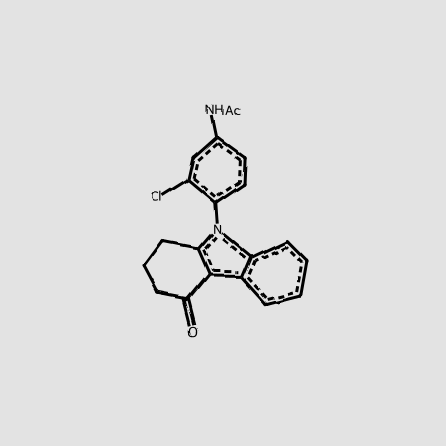 CC(=O)Nc1ccc(-n2c3c(c4ccccc42)C(=O)CCC3)c(Cl)c1